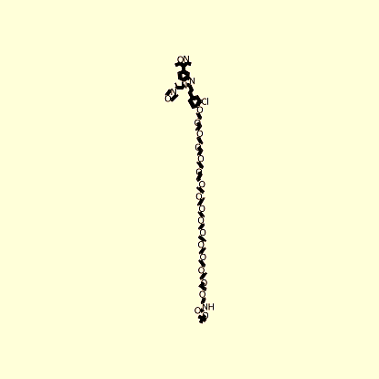 Cc1noc(C)c1-c1ccc2c(c1)nc(CCc1ccc(OCCOCCOCCOCCOCCOCCOCCOCCOCCOCCOCCOCCOCCOCCOCCOCCNC(=O)OC(C)(C)C)c(Cl)c1)n2C[C@H](C)N1CCOCC1